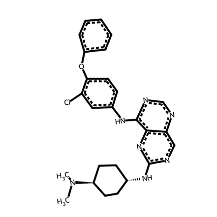 CN(C)[C@H]1CC[C@H](Nc2ncc3ncnc(Nc4ccc(Oc5ccccc5)c(Cl)c4)c3n2)CC1